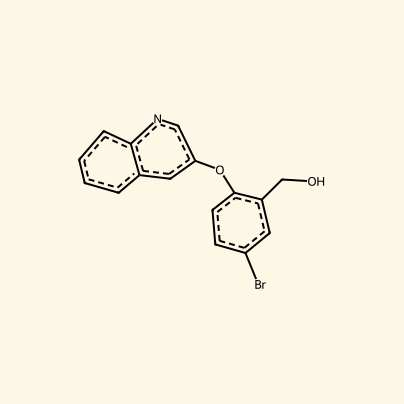 OCc1cc(Br)ccc1Oc1cnc2ccccc2c1